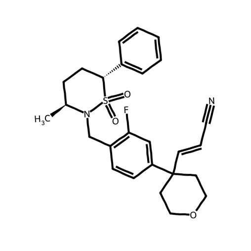 C[C@H]1CC[C@H](c2ccccc2)S(=O)(=O)N1Cc1ccc(C2(C=CC#N)CCOCC2)cc1F